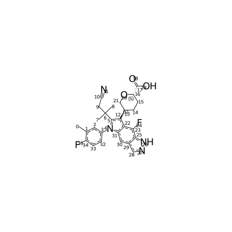 Cc1cc(-n2c(C(C)(C)CC#N)c([C@@H]3CC[C@@H](C(=O)O)OC3)c3c(F)c4[nH]ncc4cc32)ccc1F